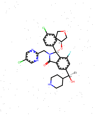 CC[C@@](O)(c1cc(F)c2c(c1)C(=O)N(Cc1ncc(Cl)cn1)[C@@]2(O[C@H]1CCOC1)c1ccc(Cl)cc1)C1CCNCC1